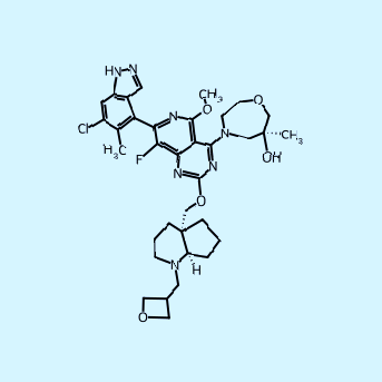 COc1nc(-c2c(C)c(Cl)cc3[nH]ncc23)c(F)c2nc(OC[C@]34CCC[C@H]3N(CC3COC3)CCC4)nc(N3CCOC[C@@](C)(O)C3)c12